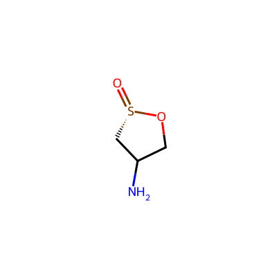 NC1CO[S@@](=O)C1